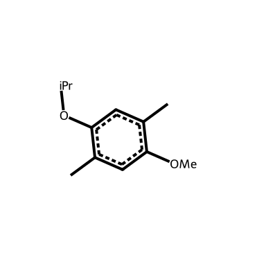 COc1cc(C)c(OC(C)C)cc1C